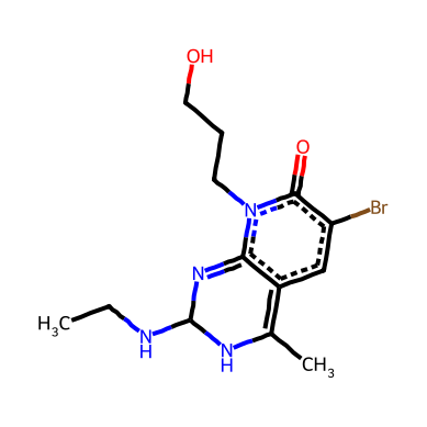 CCNC1N=c2c(cc(Br)c(=O)n2CCCO)=C(C)N1